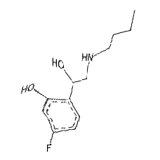 CCCCNCC(O)c1ccc(F)cc1O